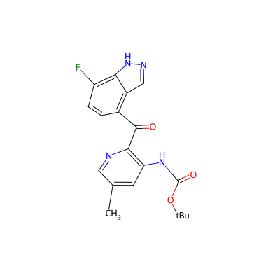 Cc1cnc(C(=O)c2ccc(F)c3[nH]ncc23)c(NC(=O)OC(C)(C)C)c1